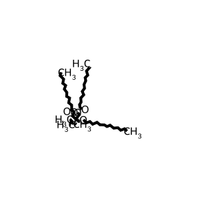 CCCCCCCCCCCCCOCC(COC(=O)CCCCCCCCCCC)(COC(=O)CCCCCCCCCCCCC)[N+](C)(C)C